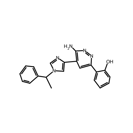 CC(c1ccccc1)n1cnc(-c2cc(-c3ccccc3O)nnc2N)c1